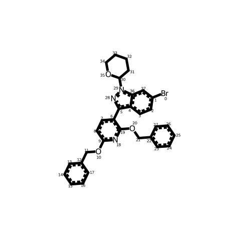 Brc1ccc2c(-c3ccc(OCc4ccccc4)nc3OCc3ccccc3)nn(C3CCCCO3)c2c1